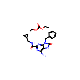 CCOC(=O)OCC.Nc1nc(C(=O)NCC2CC2)nc2c1[nH]c(=O)n2Cc1ccccc1